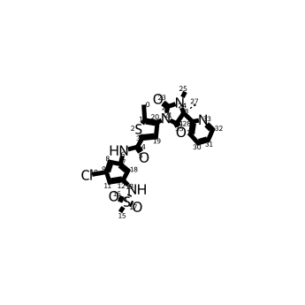 Cc1sc(C(=O)Nc2cc(Cl)cc(NS(C)(=O)=O)c2)cc1N1C(=O)N(C)[C@@](C)(c2ccccn2)C1=O